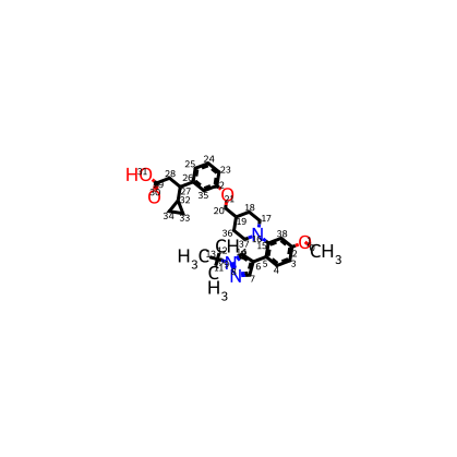 COc1ccc(-c2cnn(C(C)(C)C)c2)c(N2CCC(COc3cccc(C(CC(=O)O)C4CC4)c3)CC2)c1